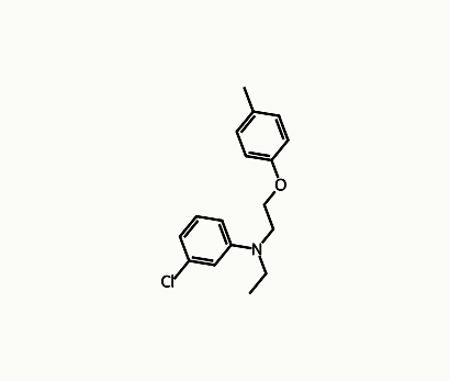 CCN(CCOc1ccc(C)cc1)c1cccc(Cl)c1